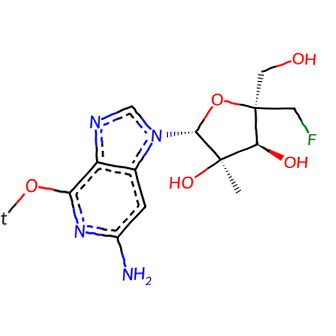 CCOc1nc(N)cc2c1ncn2[C@@H]1O[C@@](CO)(CF)[C@@H](O)[C@@]1(C)O